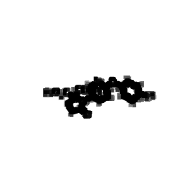 CCOC(=O)C1(C(=O)OCC)CCC(=O)N1c1ccc(Oc2ccc(CC)cc2)nc1